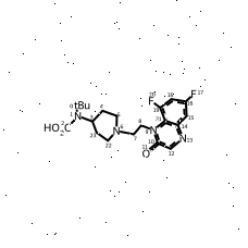 CC(C)(C)N(C(=O)O)C1CCN(CCn2c(=O)cnc3cc(F)cc(F)c32)CC1